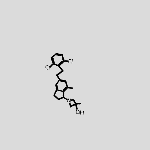 Cc1cc(CCc2c(Cl)cccc2Cl)cc2c1C(N1CC(C)(O)C1)CC2